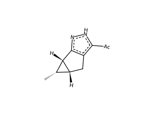 CC(=O)c1[nH]nc2c1C[C@@H]1[C@H](C)[C@H]21